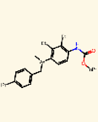 CCCOC(=O)Nc1ccc([As](C)Cc2ccc(C(C)C)cc2)c(CC)c1CC